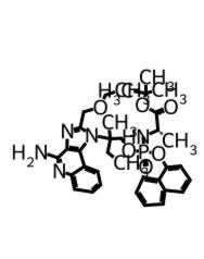 CCOCc1nc2c(N)nc3ccccc3c2n1C(C)(CC)COP(=O)(N[C@@H](C)C(=O)OC(C)(C)C)Oc1cccc2ccccc12